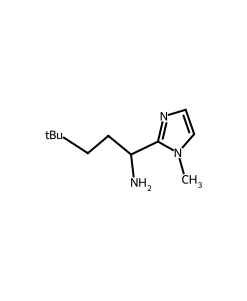 Cn1ccnc1C(N)CCC(C)(C)C